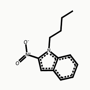 CCCCn1c([N+](=O)[O-])cc2ccccc21